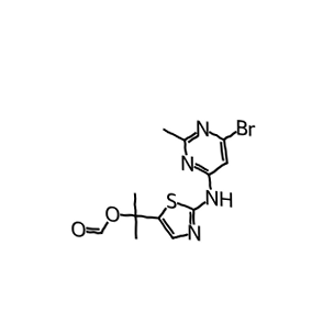 Cc1nc(Br)cc(Nc2ncc(C(C)(C)OC=O)s2)n1